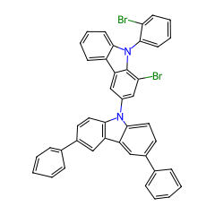 Brc1ccccc1-n1c2ccccc2c2cc(-n3c4ccc(-c5ccccc5)cc4c4cc(-c5ccccc5)ccc43)cc(Br)c21